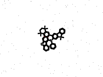 CC1(C)CCC(C)(C)c2cc(-c3cc4c(cc3N(c3ccccc3)c3cccc5oc6ccccc6c35)C(C)(C)c3ccccc3-4)ccc21